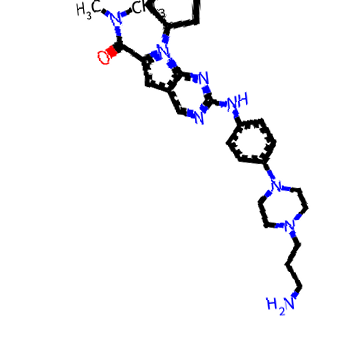 CN(C)C(=O)c1cc2cnc(Nc3ccc(N4CCN(CCCN)CC4)cc3)nc2n1C1CCCC1